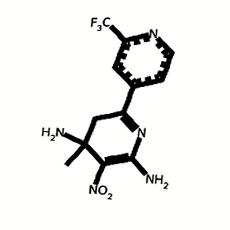 CC1(N)CC(c2ccnc(C(F)(F)F)c2)=NC(N)=C1[N+](=O)[O-]